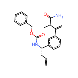 C=CC[C@H](NC(=O)OCc1ccccc1)c1cccc(C(=C)[C](C)C(N)=O)c1